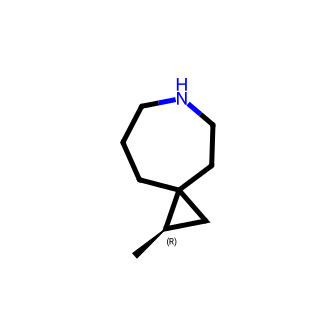 C[C@@H]1CC12CCCNCC2